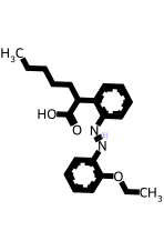 CCCCCC(C(=O)O)c1ccccc1/N=N/c1ccccc1OCC